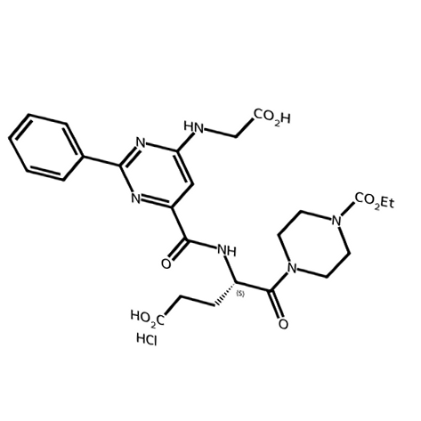 CCOC(=O)N1CCN(C(=O)[C@H](CCC(=O)O)NC(=O)c2cc(NCC(=O)O)nc(-c3ccccc3)n2)CC1.Cl